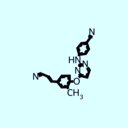 Cc1cc(C=CC#N)ccc1Oc1ccnc(Nc2ccc(C#N)cc2)n1